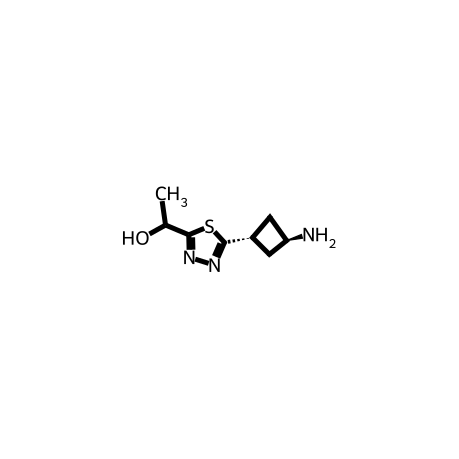 CC(O)c1nnc([C@H]2C[C@H](N)C2)s1